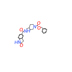 O=C1Cc2cc(C(=O)NCC3CCN(C(=O)OCc4ccccc4)CC3)ccc2N1